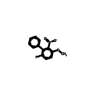 COc1ccc(F)c(-c2ccccc2)c1[N+](=O)[O-]